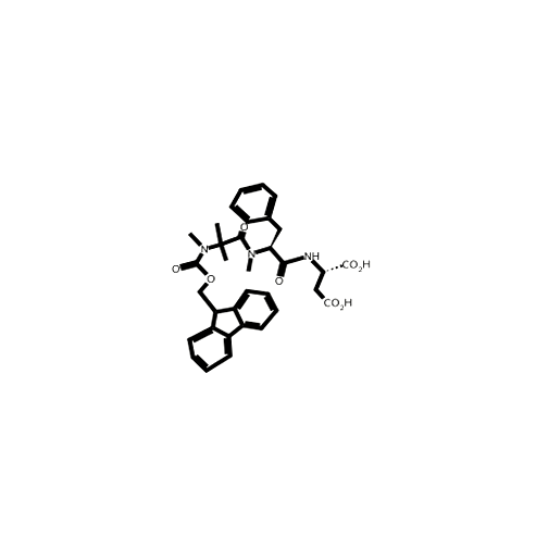 CN(C(=O)C(C)(C)N(C)C(=O)OCC1c2ccccc2-c2ccccc21)[C@@H](Cc1ccccc1)C(=O)N[C@@H](CC(=O)O)C(=O)O